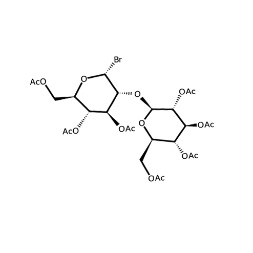 CC(=O)OC[C@H]1O[C@H](Br)[C@H](O[C@@H]2O[C@H](COC(C)=O)[C@@H](OC(C)=O)[C@H](OC(C)=O)[C@H]2OC(C)=O)[C@@H](OC(C)=O)[C@@H]1OC(C)=O